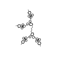 Cc1ccc(S(=O)(=O)OCCOc2ccc(CCCCc3ccc(OCCOS(=O)(=O)c4ccc(C)cc4)c(OCCOS(=O)(=O)c4ccc(C)cc4)c3)cc2OCCOS(=O)(=O)c2ccc(C)cc2)cc1